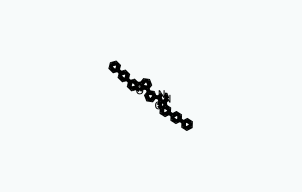 c1ccc(-c2ccc(-c3ccc4oc5c(-c6cccc(-c7ncnc8c7oc7ccc(-c9ccc(-c%10ccccc%10)cc9)cc78)c6)cccc5c4c3)cc2)cc1